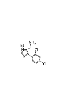 CCn1cnc(-c2ccc(Cl)cc2Cl)c1CN